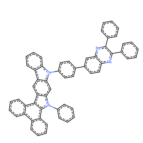 c1ccc(-c2nc3ccc(-c4ccc(-n5c6ccccc6c6cc7c8c9ccccc9c9ccccc9c8n(-c8ccccc8)c7cc65)cc4)cc3nc2-c2ccccc2)cc1